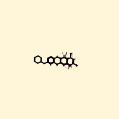 CC(=O)C1=C(O)C(C(C)C)[C@@]2(C)[C@H](O)[C@]3(C)C(=C(O)[C@@]2(O)C1=O)C(=O)c1c(ccc(CC2CCCCC2)c1O)[C@H]3C